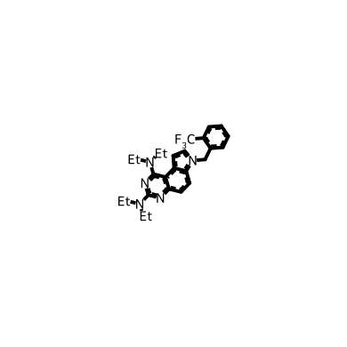 CCN(CC)c1nc(N(CC)CC)c2c(ccc3c2ccn3Cc2ccccc2C(F)(F)F)n1